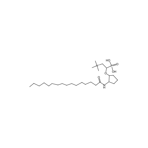 CCCCCCCCCCCCCCCC(=O)NC1CCCC1OC(C[N+](C)(C)C)P(=O)(O)O